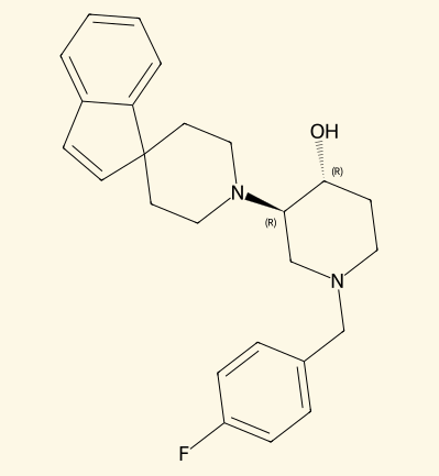 O[C@@H]1CCN(Cc2ccc(F)cc2)C[C@H]1N1CCC2(C=Cc3ccccc32)CC1